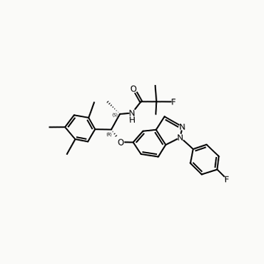 Cc1cc(C)c([C@@H](Oc2ccc3c(cnn3-c3ccc(F)cc3)c2)[C@H](C)NC(=O)C(C)(C)F)cc1C